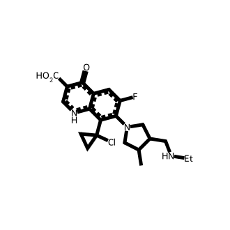 CCNCC1CN(c2c(F)cc3c(=O)c(C(=O)O)c[nH]c3c2C2(Cl)CC2)CC1C